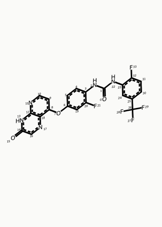 O=C(Nc1ccc(Oc2ccnc3[nH]c(=O)cnc23)cc1F)Nc1cc(C(F)(F)F)ccc1F